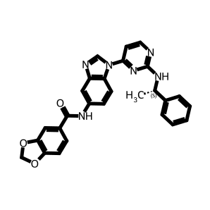 C[C@H](Nc1nccc(-n2cnc3cc(NC(=O)c4ccc5c(c4)OCO5)ccc32)n1)c1ccccc1